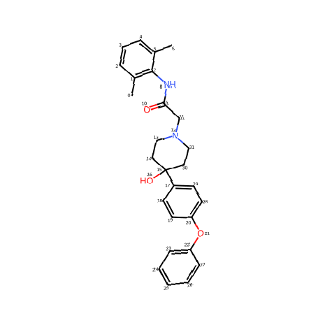 Cc1cccc(C)c1NC(=O)CN1CCC(O)(c2ccc(Oc3ccccc3)cc2)CC1